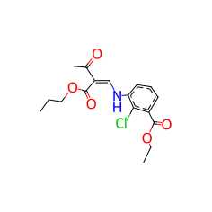 CCCOC(=O)C(=CNc1cccc(C(=O)OCC)c1Cl)C(C)=O